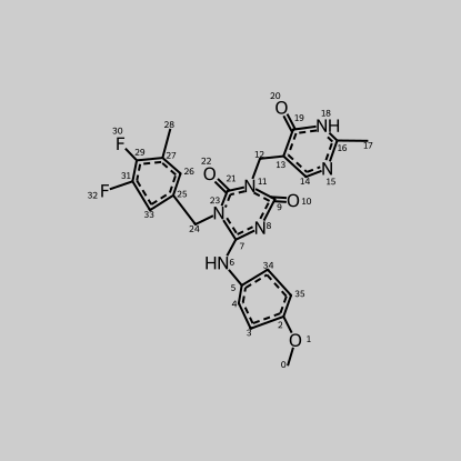 COc1ccc(Nc2nc(=O)n(Cc3cnc(C)[nH]c3=O)c(=O)n2Cc2cc(C)c(F)c(F)c2)cc1